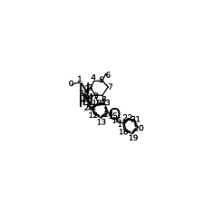 CCNC1CC(C)CCC1(c1cccc(OCc2ccccc2)c1)N(C)C